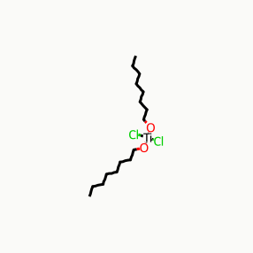 CCCCCCCC[O][Ti]([Cl])([Cl])[O]CCCCCCCC